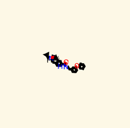 C[C@@H]1[C@H]2Cc3ccc(C(=O)NCCc4cccc(Oc5ccccc5)c4)cc3[C@]1(C)CCN2CC1CC1